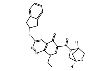 CCn1cc(C(=O)N2C[C@H]3C[C@@H]2CO3)c(=O)c2cc(OC3Cc4ccccc4C3)nnc21